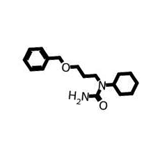 NC(=O)N(CCCOCc1ccccc1)C1CCCCC1